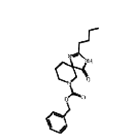 CCCCC1=NC2(CCCN(C(=O)OCc3ccccc3)C2)C(=O)N1